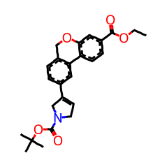 CCOC(=O)c1ccc2c(c1)OCc1ccc(C3=CCN(C(=O)OC(C)(C)C)C3)cc1-2